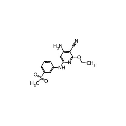 CCOc1nc(Nc2cccc(S(C)(=O)=O)c2)cc(N)c1C#N